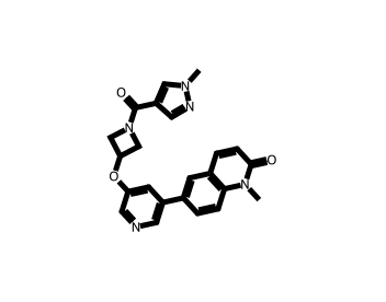 Cn1cc(C(=O)N2CC(Oc3cncc(-c4ccc5c(ccc(=O)n5C)c4)c3)C2)cn1